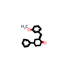 COc1cccc(C=C2CC(c3ccccc3)CCC2=O)c1